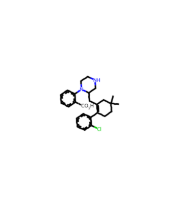 CC1(C)CCC(c2ccccc2Cl)=C(CC2CNCCN2c2ccccc2C(=O)O)C1